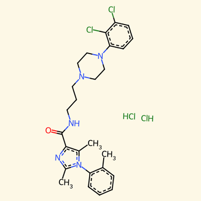 Cc1ccccc1-n1c(C)nc(C(=O)NCCCN2CCN(c3cccc(Cl)c3Cl)CC2)c1C.Cl.Cl